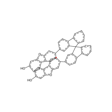 Oc1ccc2c(c1)oc1cc(-c3ccc4c(c3)C3(c5ccccc5-4)c4ccccc4-c4ccc(-c5ccc6c(c5)oc5cc(O)ccc56)cc43)ccc12